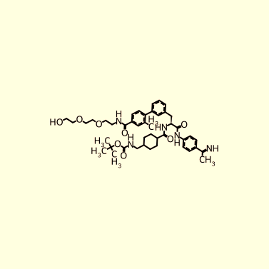 CC(=N)c1ccc(NC(=O)[C@H](Cc2cccc(-c3ccc(C(=O)NCCOCCOCCO)cc3C)c2)NC(=O)C2CCC(CNC(=O)OC(C)(C)C)CC2)cc1